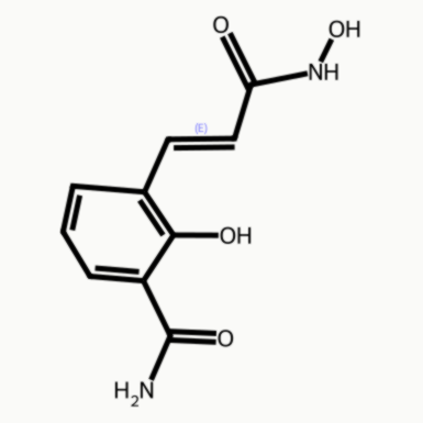 NC(=O)c1cccc(/C=C/C(=O)NO)c1O